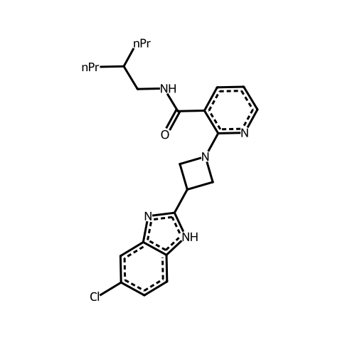 CCCC(CCC)CNC(=O)c1cccnc1N1CC(c2nc3cc(Cl)ccc3[nH]2)C1